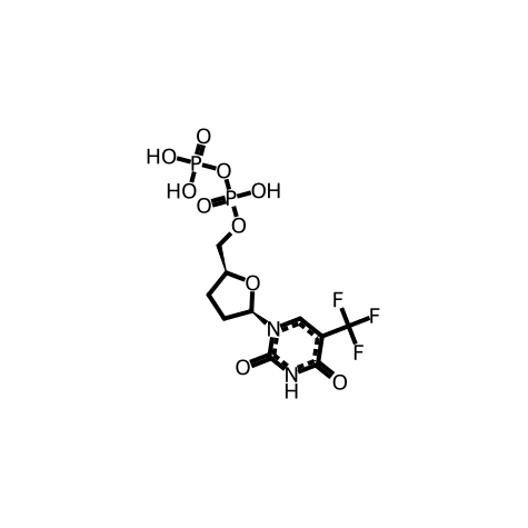 O=c1[nH]c(=O)n([C@H]2CC[C@@H](COP(=O)(O)OP(=O)(O)O)O2)cc1C(F)(F)F